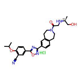 CC(C)Oc1ccc(-c2nc(-c3ccc4c(c3)CCN(C(=O)CN[C@@H](C)CO)CC4)no2)cc1C#N.Cl